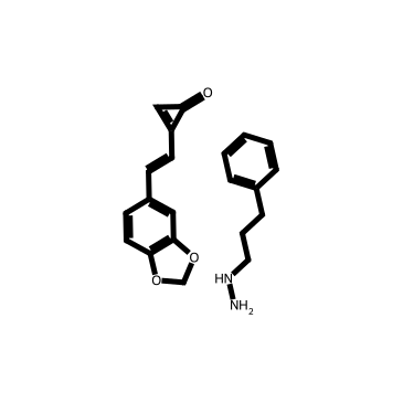 NNCCCc1ccccc1.O=c1cc1C=Cc1ccc2c(c1)OCO2